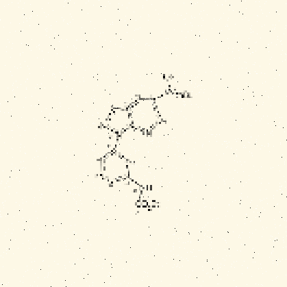 CCCC[S+]([O-])c1cnc2c(cnn2-c2cncc(NC(=O)OCC)c2)c1